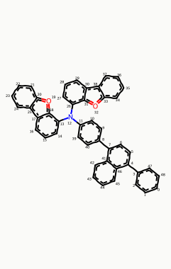 c1ccc(-c2ccc(-c3ccc(N(c4cccc5c4oc4ccccc45)c4cccc5c4oc4ccccc45)cc3)c3ccccc23)cc1